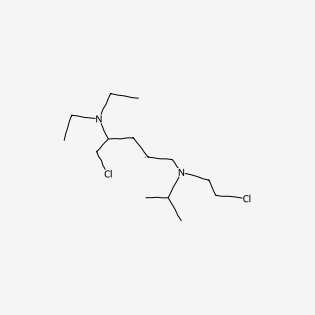 CCN(CC)C(CCl)C[CH]CN(CCCl)C(C)C